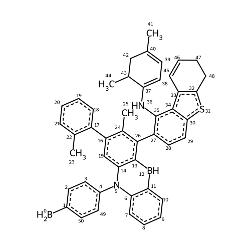 Bc1ccc(N2c3ccccc3Bc3c2cc(-c2ccccc2C)c(C)c3-c2ccc3sc4c(c3c2NC2=CC=C(C)CC2C)C=CCC4)cc1